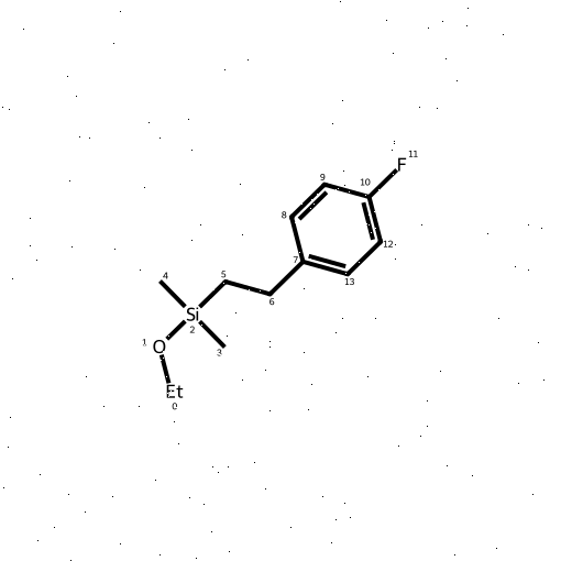 CCO[Si](C)(C)CCc1ccc(F)cc1